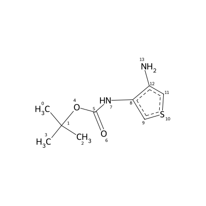 CC(C)(C)OC(=O)Nc1cscc1N